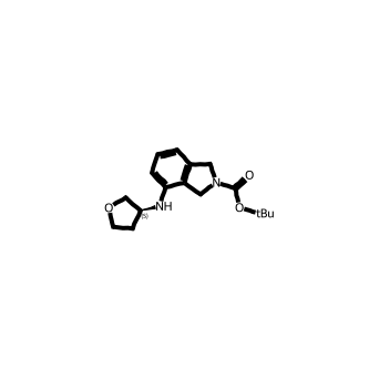 CC(C)(C)OC(=O)N1Cc2cccc(N[C@H]3CCOC3)c2C1